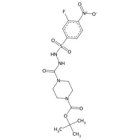 CC(C)(C)OC(=O)N1CCN(C(=O)NNS(=O)(=O)c2ccc([N+](=O)[O-])c(F)c2)CC1